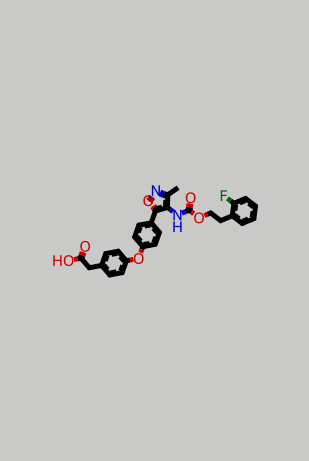 Cc1noc(-c2ccc(Oc3ccc(CC(=O)O)cc3)cc2)c1NC(=O)OCCc1ccccc1F